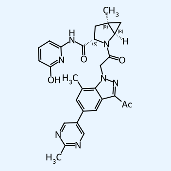 CC(=O)c1nn(CC(=O)N2[C@H](C(=O)Nc3cccc(O)n3)C[C@@]3(C)C[C@@H]23)c2c(C)cc(-c3cnc(C)nc3)cc12